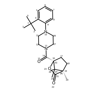 CC(C)(C)c1ccccc1N1CCN(C(=O)[C@@]23CC[C@@](C)(C(=O)O2)C3(C)C)CC1